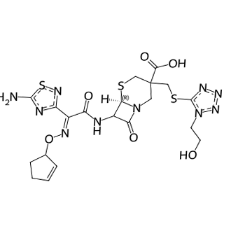 Nc1nc(C(=NOC2C=CCC2)C(=O)NC2C(=O)N3CC(CSc4nnnn4CCO)(C(=O)O)CS[C@H]23)ns1